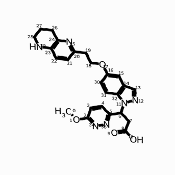 COc1ccc(C(CC(=O)O)n2ncc3cc(OCCc4ccc5c(n4)CCCN5)ccc32)nn1